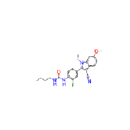 CCCCNC(=O)Nc1ccc(-c2c(C#N)c3ccc(OC)cc3n2CC)cc1F